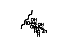 CCCCCCCC.OP(O)(O)=S.OP(O)(O)=S.[Zn]